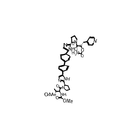 COC(=O)NC(C(=O)N1CCCC1c1ncc(-c2ccc(-c3ccc(-c4cnc([C@@H]5CCCN5C(=O)[C@H](Cc5ccncc5)OC(N)=O)[nH]4)cc3)cc2)[nH]1)[C@@H](C)OC